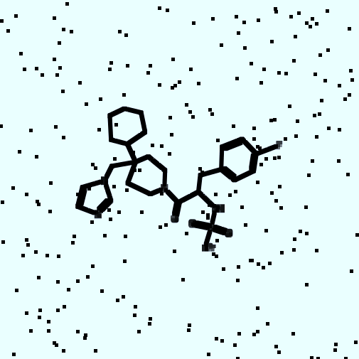 CCCS(=O)(=O)NC(Cc1ccc(F)cc1)C(=O)N1CCC(Cn2ccnc2)(C2CCCCC2)CC1